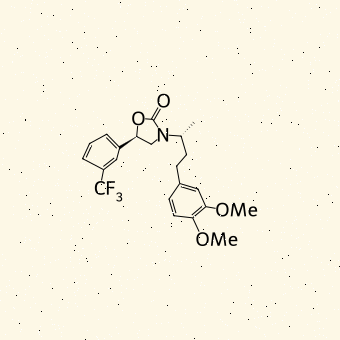 COc1ccc(CC[C@@H](C)N2C[C@@H](c3cccc(C(F)(F)F)c3)OC2=O)cc1OC